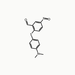 CN(C)c1ccc(Sc2ccc(N=O)cc2C=O)cc1